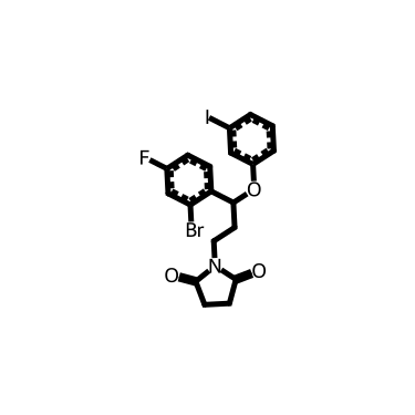 O=C1CCC(=O)N1CCC(Oc1cccc(I)c1)c1ccc(F)cc1Br